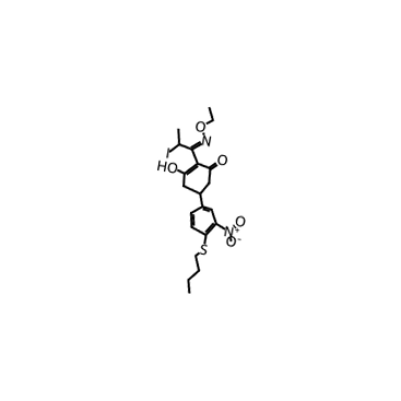 CCCCSc1ccc(C2CC(=O)C(C(=NOCC)C(C)I)=C(O)C2)cc1[N+](=O)[O-]